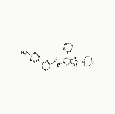 Nc1ccc(-c2cccc(C(=O)Nc3cc(-c4ccccc4)c4nc(N5CCOCC5)oc4c3)n2)cn1